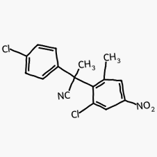 Cc1cc([N+](=O)[O-])cc(Cl)c1C(C)(C#N)c1ccc(Cl)cc1